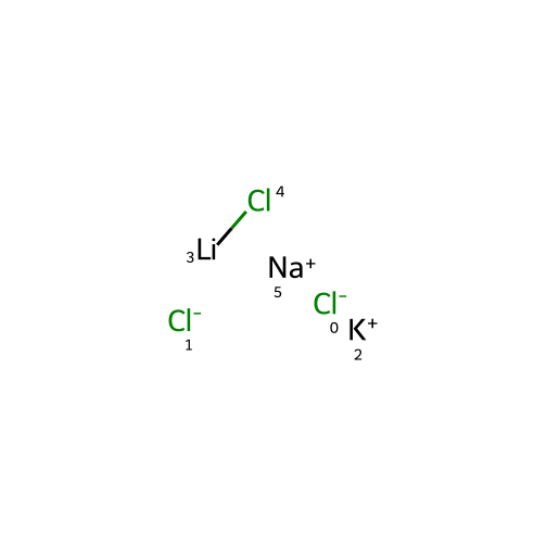 [Cl-].[Cl-].[K+].[Li][Cl].[Na+]